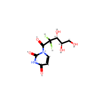 O=C(n1ccc(=O)[nH]c1=O)C(F)(F)[C@H](O)[C@H](O)CO